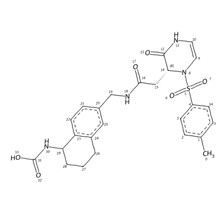 Cc1ccc(S(=O)(=O)N2C=CNC(=O)[C@H]2CC(=O)NCc2ccc3c(c2)CCCC3NC(=O)O)cc1